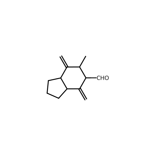 C=C1C(C)C(C=O)C(=C)C2CCCC12